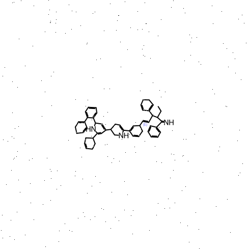 CCC(C(=N)c1ccccc1)C(/C=C/C1C=C(C2=CCC(C3=CC(c4ccccc4C4=CCCC=C4)NC(C4CC=CCC4)=C3)CN2)C=CC1)C1=CCCC=C1